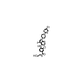 CCc1cnc(N2CCC(n3cc(F)c4c(Nc5ccc(C(=O)N(C)CCO)cc5Cl)ncnc43)CC2)nc1